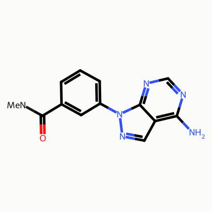 CNC(=O)c1cccc(-n2ncc3c(N)ncnc32)c1